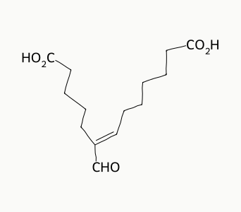 O=CC(=CCCCCCC(=O)O)CCCCC(=O)O